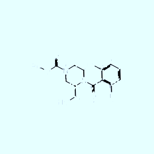 CC(C)(C)OC(=O)N1CCN(C(=O)c2c(F)cccc2Br)C(CO)C1